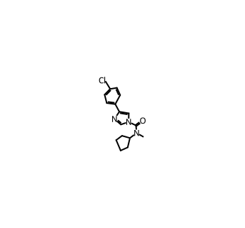 CN(C(=O)n1cnc(-c2ccc(Cl)cc2)c1)C1CCCC1